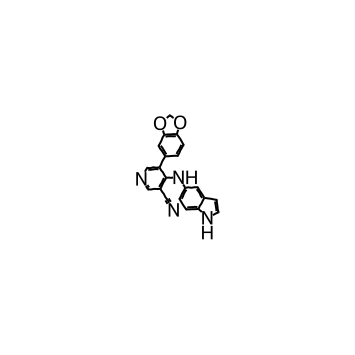 N#Cc1cncc(-c2ccc3c(c2)OCO3)c1Nc1ccc2[nH]ccc2c1